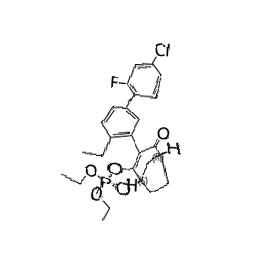 CCOP(=O)(OCC)OC1=C(c2cc(-c3ccc(Cl)cc3F)ccc2CC)C(=O)[C@@H]2CC[C@H]1C2